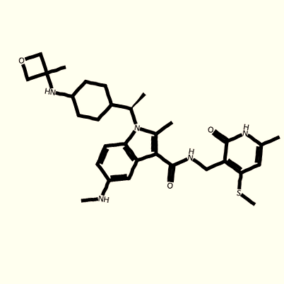 CNc1ccc2c(c1)c(C(=O)NCc1c(SC)cc(C)[nH]c1=O)c(C)n2[C@H](C)C1CCC(NC2(C)COC2)CC1